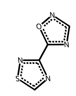 c1noc(-c2ncsn2)n1